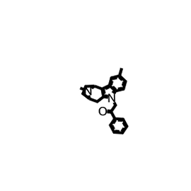 Cc1ccc2c(c1)c1c(n2CC(=O)c2ccccc2)CC2CCC1N2C